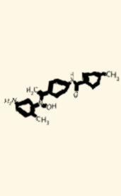 C=C(c1ccc(NC(=O)c2ccc(C)cc2)cc1)N(O)c1cc(N)ccc1C